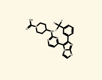 O=C(O)N1CCC(Nc2nccc(-c3c(-c4cccc(C(F)(F)F)c4)nc4occn34)n2)CC1